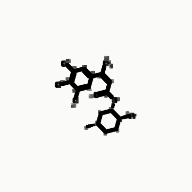 CC(C)[C@H]1CC[C@H](C)C[C@@H]1OC(=O)/C=C(\c1cc(Cl)c(Cl)c(Cl)c1)C(F)(F)F